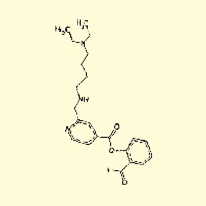 CCN(CC)CCCCNCc1cc(C(=O)Oc2ccccc2C(=O)I)ccn1